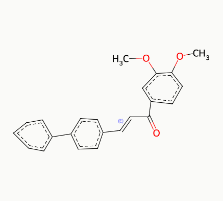 COc1ccc(C(=O)/C=C/c2ccc(-c3ccccc3)cc2)cc1OC